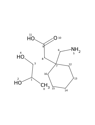 CC(O)CO.NCC1(CC(=O)O)CCCCC1